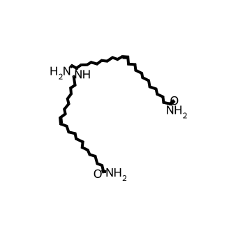 NCC(CCCCCCCC/C=C\CCCCCCCCCCCC(N)=O)NCCCCCCCC/C=C\CCCCCCCCCCCC(N)=O